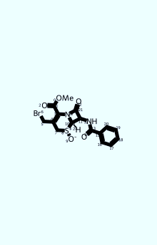 COC(=O)C1=C(CBr)C[S+]([O-])[C@@H]2C(NC(=O)c3ccccc3)C(=O)N12